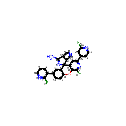 NC1=NC2(c3cc(-c4cccnc4F)ccc3Oc3c2cc(-c2ccnc(F)c2)nc3F)c2cnccc21